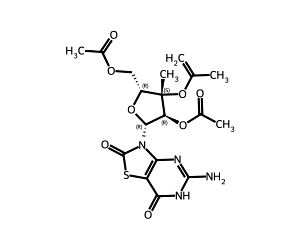 C=C(C)O[C@@]1(C)[C@@H](COC(C)=O)O[C@@H](n2c(=O)sc3c(=O)[nH]c(N)nc32)[C@@H]1OC(C)=O